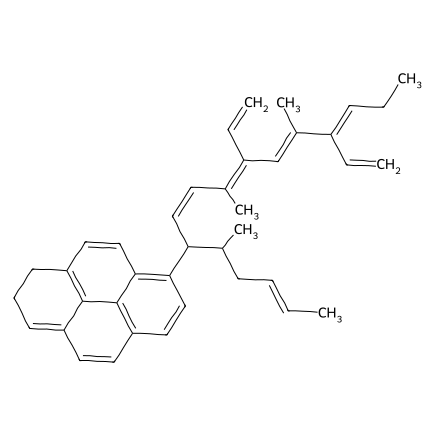 C=CC(=C\CC)/C(C)=C/C(C=C)=C(C)/C=C\C(c1ccc2ccc3c4c(ccc1c24)CCC=3)C(C)CC=CC